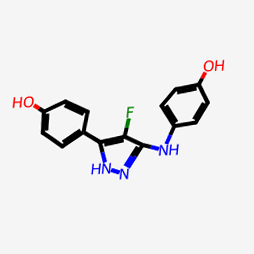 Oc1ccc(Nc2n[nH]c(-c3ccc(O)cc3)c2F)cc1